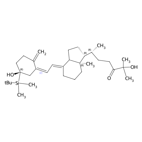 C=C1CC[C@@](O)([Si](C)(C)C(C)(C)C)C/C1=C/C=C1CCC[C@@]2(C)C1CC[C@@H]2[C@H](C)CCC(=O)C(C)(C)O